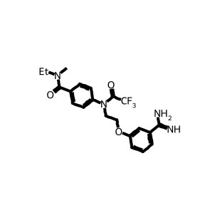 CCN(C)C(=O)c1ccc(N(CCOc2cccc(C(=N)N)c2)C(=O)C(F)(F)F)cc1